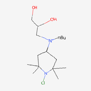 CCCCN(CC(O)CO)C1CC(C)(C)N(Cl)C(C)(C)C1